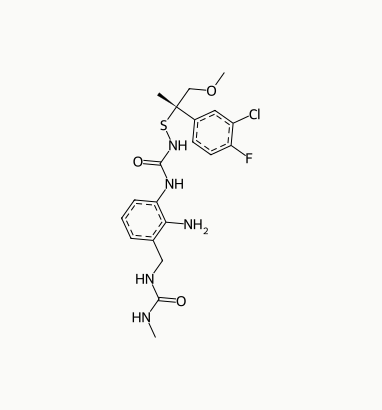 CNC(=O)NCc1cccc(NC(=O)NS[C@](C)(COC)c2ccc(F)c(Cl)c2)c1N